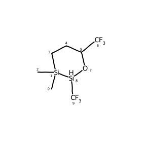 C[Si]1(C)CCC(C(F)(F)F)O[SiH]1C(F)(F)F